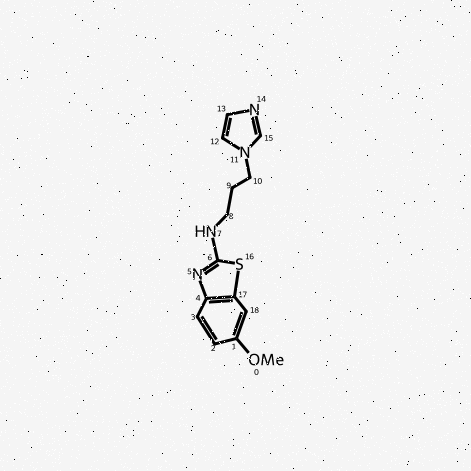 COc1ccc2nc(NCCCn3ccnc3)sc2c1